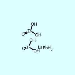 [La].[O]=[Ti]([OH])[OH].[O]=[Zr]([OH])[OH].[PbH2]